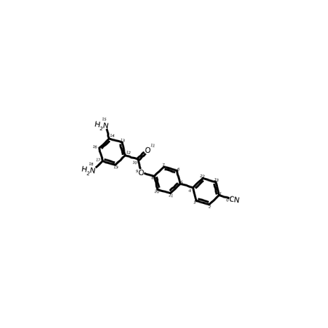 N#Cc1ccc(-c2ccc(OC(=O)c3cc(N)cc(N)c3)cc2)cc1